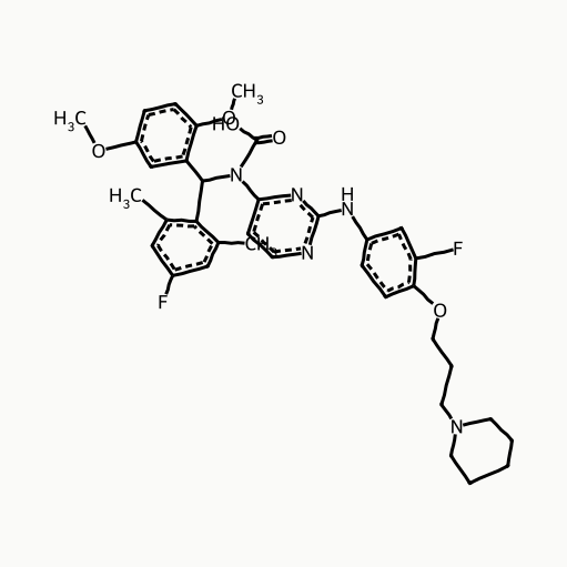 COc1ccc(OC)c(C(c2c(C)cc(F)cc2C)N(C(=O)O)c2ccnc(Nc3ccc(OCCCN4CCCCC4)c(F)c3)n2)c1